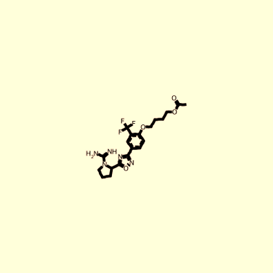 CC(=O)OCCCCOc1ccc(-c2noc(C3CCCN3C(=N)N)n2)cc1C(F)(F)F